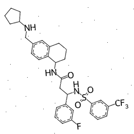 O=C(CC(NS(=O)(=O)c1cccc(C(F)(F)F)c1)c1cccc(F)c1)NC1CCCc2cc(CNC3CCCC3)ccc21